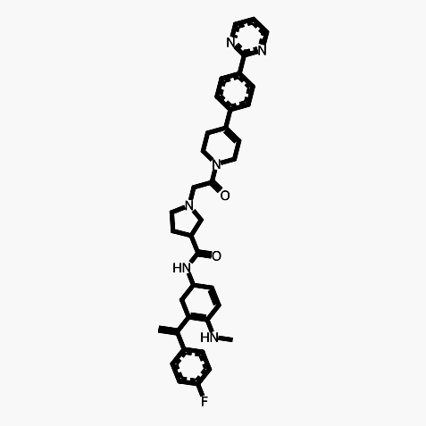 C=C(C1=C(NC)C=CC(NC(=O)C2CCN(CC(=O)N3CC=C(c4ccc(-c5ncccn5)cc4)CC3)C2)C1)c1ccc(F)cc1